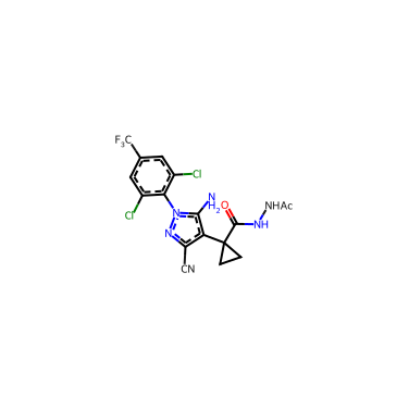 CC(=O)NNC(=O)C1(c2c(C#N)nn(-c3c(Cl)cc(C(F)(F)F)cc3Cl)c2N)CC1